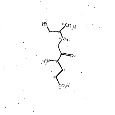 NC(CCC(=O)O)C(=O)CNC(CS)C(=O)O